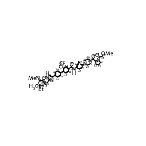 CCC(C)(C)CN(Cc1nc(-c2ccc(-c3ccc(C(=O)Nc4ccc(N5CCN(C(=O)C6CCCN6C(=O)COC)CC5)nc4)cc3OC(F)(F)F)cc2)c[nH]1)C(=O)CNC